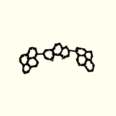 c1cc2ccc3ccc(-c4cnc5c(ccc6cc(-c7ccc8ccc9cccc%10ccc7c8c9%10)cnc65)c4)c4ccc(c1)c2c34